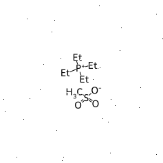 CC[P+](CC)(CC)CC.CS(=O)(=O)[O-]